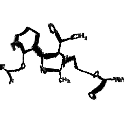 CC(=O)c1c(-c2cccnc2OC(F)F)nc(C)n1CCOC(N)=O